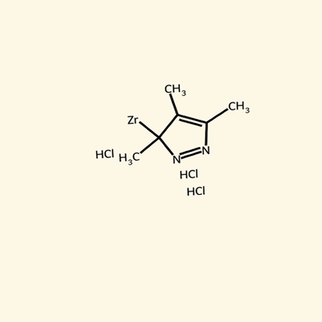 CC1=C(C)[C](C)([Zr])N=N1.Cl.Cl.Cl